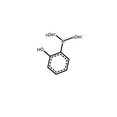 CCCCCCCCCCN(CCCCCCCCCC)c1ccccc1O